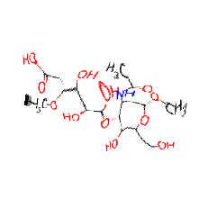 CO[C@@H]1OC(CO)[C@@H](O)[C@H](O[C@H](O)[C@@H](O)C(O)[C@@H](CC(=O)O)OC)C1NC(C)=O